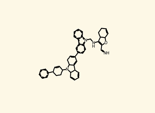 N=CC1=C(NCn2c3ccccc3c3cc(C4=CCC5C(=C4)C4C=CC=CC4N5C4C=CC(c5ccccc5)CC4)ccc32)C2CCC=CC2O1